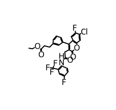 CCOC(=O)CCc1cccc(-c2c(CC(=O)Nc3ccc(F)cc3C(F)(F)F)c(=O)oc3cc(Cl)c(F)cc23)c1